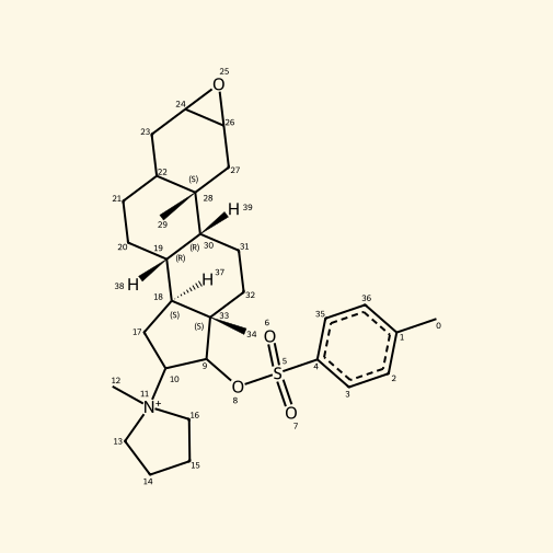 Cc1ccc(S(=O)(=O)OC2C([N+]3(C)CCCC3)C[C@H]3[C@@H]4CCC5CC6OC6C[C@]5(C)[C@@H]4CC[C@]23C)cc1